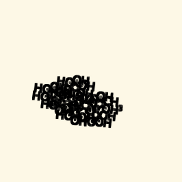 Bc1c(O)c(O)c(O)c(O)c1-c1c(O)c(O)c(O)c(-c2c(B)c(-c3c(O)c(O)c(O)c(O)c3O)c3ooc4c5ooc6c(O)c(C)c(O)c7c8c(O)c(O)c(O)c9sc(c%10c%11c(O)c(O)c(O)c%12sc2c3n(c%12%11)c4%10)c5n(c67)c98)c1O